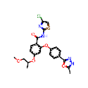 COCC(C)Oc1ccc(C(=O)Nc2nc(Cl)cs2)c(Oc2ccc(-c3nnc(C)o3)cc2)c1